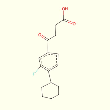 O=C(O)CCC(=O)c1ccc(C2CCCCC2)c(F)c1